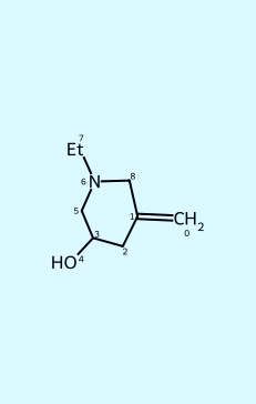 C=C1CC(O)CN(CC)C1